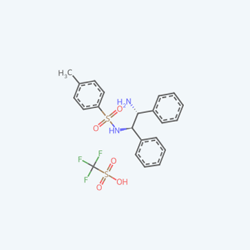 Cc1ccc(S(=O)(=O)N[C@H](c2ccccc2)[C@H](N)c2ccccc2)cc1.O=S(=O)(O)C(F)(F)F